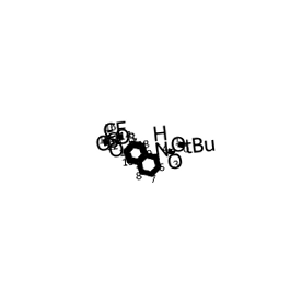 CC(C)(C)OC(=O)N[C@@H]1CCCc2cc(OS(=O)(=O)C(F)(F)F)ccc21